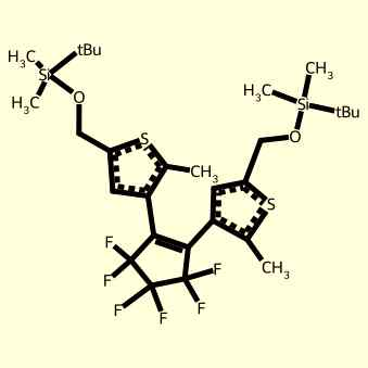 Cc1sc(CO[Si](C)(C)C(C)(C)C)cc1C1=C(c2cc(CO[Si](C)(C)C(C)(C)C)sc2C)C(F)(F)C(F)(F)C1(F)F